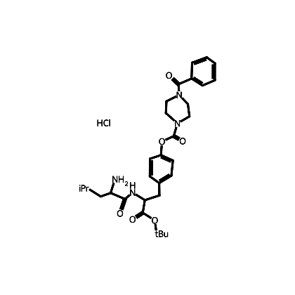 CC(C)CC(N)C(=O)NC(Cc1ccc(OC(=O)N2CCN(C(=O)c3ccccc3)CC2)cc1)C(=O)OC(C)(C)C.Cl